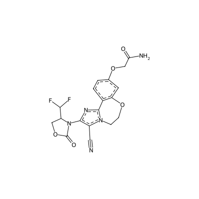 N#Cc1c(N2C(=O)OCC2C(F)F)nc2n1CCOc1cc(OCC(N)=O)ccc1-2